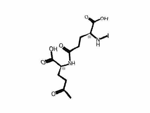 CC(=O)CC[C@H](NC(=O)CC[C@H](NI)C(=O)O)C(=O)O